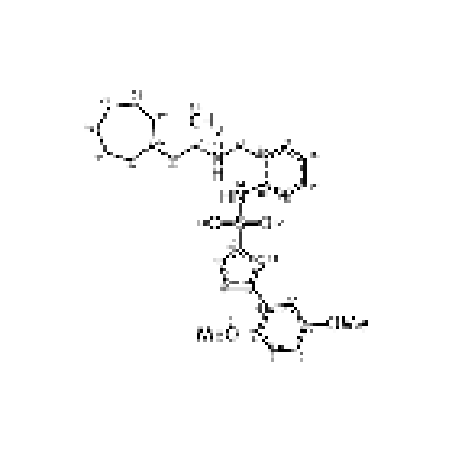 COc1ccc(OC)c(-c2ccc(S(=O)(=O)Nc3ccccc3CN[C@@H](C)CC3CCCCCC3)s2)c1